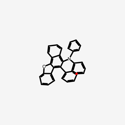 c1ccc(-c2c(N(c3ccccc3)c3ccccc3)c3ccccc3c3oc4ccccc4c23)cc1